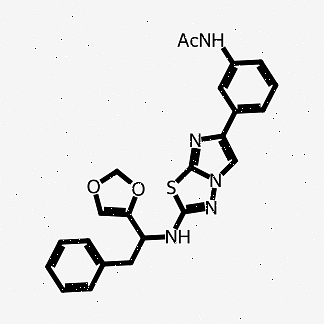 CC(=O)Nc1cccc(-c2cn3nc(NC(Cc4ccccc4)C4=COCO4)sc3n2)c1